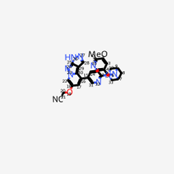 COc1ccc(CN2C3CC2CN(c2ccc(-c4cc(OCC#N)cn5nc6[nH]ncc6c45)cn2)C3)cn1